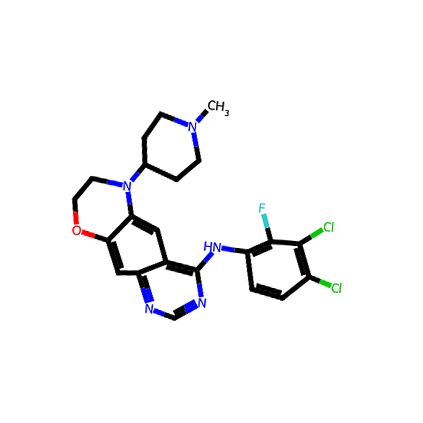 CN1CCC(N2CCOc3cc4ncnc(Nc5ccc(Cl)c(Cl)c5F)c4cc32)CC1